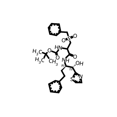 CC(C)(C)OC(=O)NC(CS(=O)(=O)Cc1ccccc1)C(=O)N[C@H](CCc1ccccc1)[C@H](O)c1nccs1